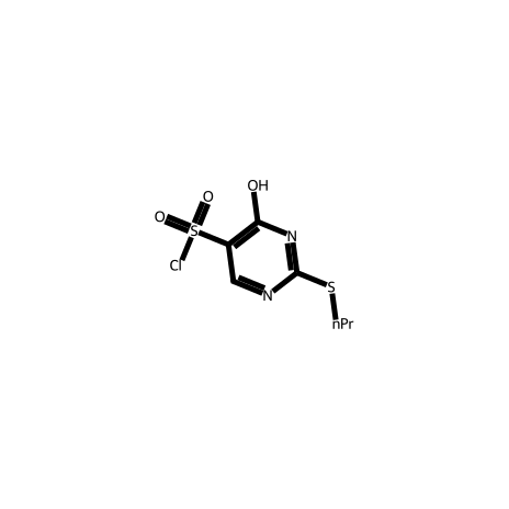 CCCSc1ncc(S(=O)(=O)Cl)c(O)n1